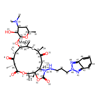 CC[C@H]1OC(=O)[C@H](C)C(=O)[C@H](C)[C@@H](O[C@@H]2O[C@H](C)CC(N(C)C)C2O)[C@](C)(OC)C[C@@H](C)C(=O)[C@H](C)[C@H]2N(NCCCn3nc4ccccc4n3)C(=O)O[C@]12C